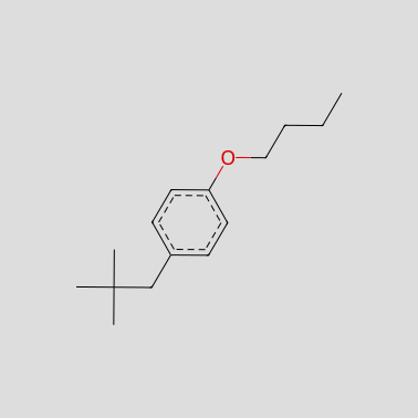 CCCCOc1ccc(CC(C)(C)C)cc1